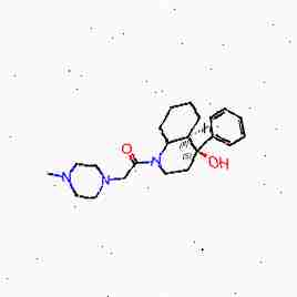 CN1CCN(CC(=O)N2CC[C@@](O)(c3ccccc3)[C@@H]3CCCCC32)CC1